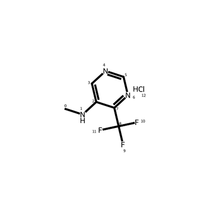 CNc1cncnc1C(F)(F)F.Cl